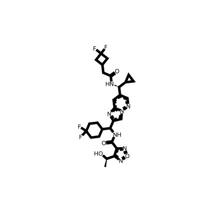 C[C@@H](O)c1nonc1C(=O)NC(c1cn2ncc([C@H](NC(=O)CC3CC(F)(F)C3)C3CC3)cc2n1)C1CCC(F)(F)CC1